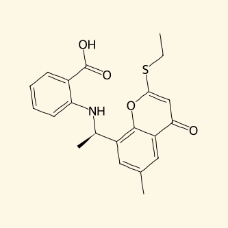 CCSc1cc(=O)c2cc(C)cc([C@@H](C)Nc3ccccc3C(=O)O)c2o1